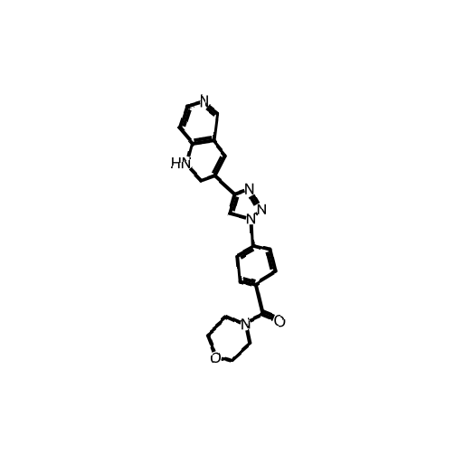 O=C(c1ccc(-n2cc(C3=Cc4cnccc4NC3)nn2)cc1)N1CCOCC1